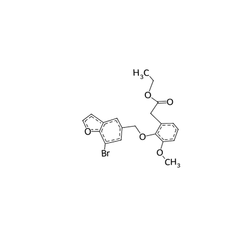 CCOC(=O)Cc1cccc(OC)c1OCc1cc(Br)c2occc2c1